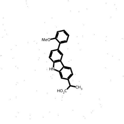 COc1ccccc1-c1ccc2[nH]c3cc(C(C)C(=O)O)ccc3c2c1